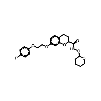 O=C(NOC1CCCCO1)C1CCc2ccc(OCCOc3ccc(F)cc3)cc2O1